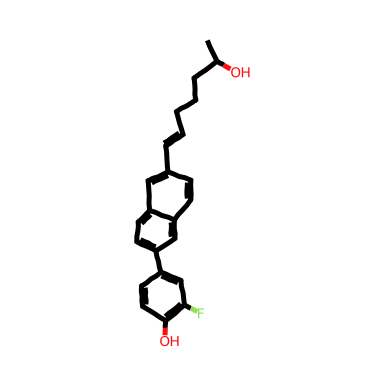 CC(O)CCC/C=C/c1ccc2cc(-c3ccc(O)c(F)c3)ccc2c1